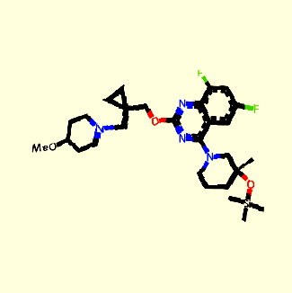 COC1CCN(CC2(COc3nc(N4CCC[C@@](C)(O[Si](C)(C)C)C4)c4cc(F)cc(F)c4n3)CC2)CC1